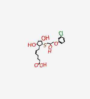 O=C(O)CCC/C=C\C[C@@H]1[C@@H](SCC(O)COc2cccc(Cl)c2)[C@H](O)C[C@@H]1O